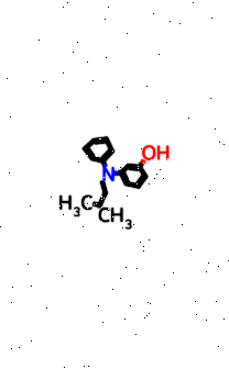 CC(C)CCN(c1ccccc1)c1cccc(O)c1